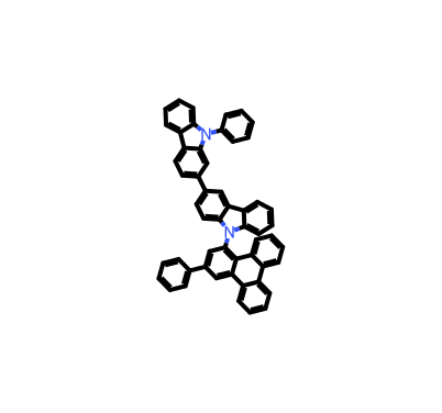 c1ccc(-c2cc(-n3c4ccccc4c4cc(-c5ccc6c7ccccc7n(-c7ccccc7)c6c5)ccc43)c3c4ccccc4c4ccccc4c3c2)cc1